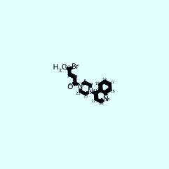 CC(Br)/C=C/C(=O)N1CCN(c2ccnc3ccccc23)CC1